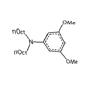 CCCCCCCCN(CCCCCCCC)c1cc(OC)cc(OC)c1